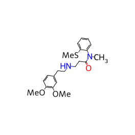 COc1ccc(CCNCCC(=O)N(C)c2ccccc2SC)cc1OC